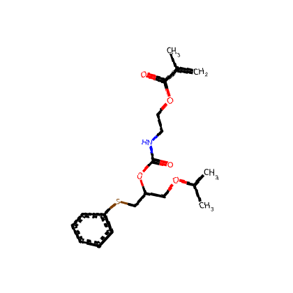 C=C(C)C(=O)OCCNC(=O)OC(COC(C)C)CSc1ccccc1